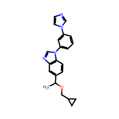 CC(OCC1CC1)c1ccc2c(c1)ncn2-c1cccc(-n2ccnc2)c1